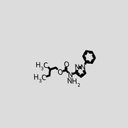 CCC(C)COC(=O)N(N)c1ccn(-c2ccccc2)n1